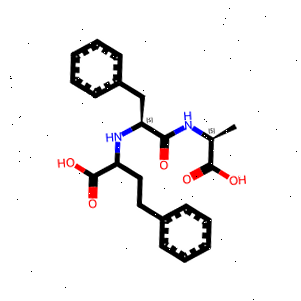 C[C@H](NC(=O)[C@H](Cc1ccccc1)NC(CCc1ccccc1)C(=O)O)C(=O)O